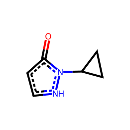 O=c1cc[nH]n1C1CC1